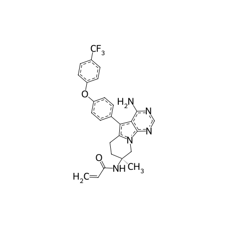 C=CC(=O)N[C@@]1(C)CCc2c(-c3ccc(Oc4ccc(C(F)(F)F)cc4)cc3)c3c(N)ncnc3n2C1